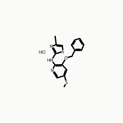 CSc1cnc(Nc2nc(C)cs2)c(OCc2ccccc2)c1.Cl